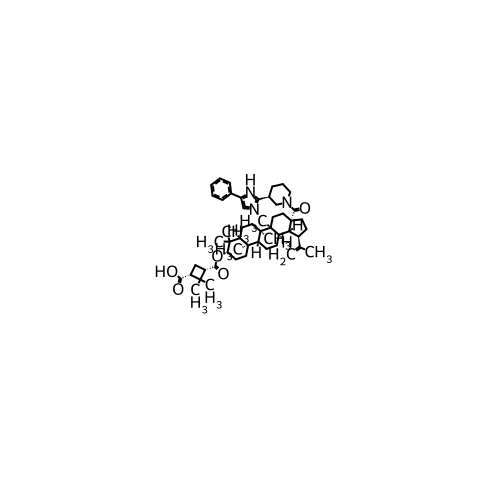 C=C(C)[C@@H]1CC[C@]2(C(=O)N3CCC[C@H](c4ncc(-c5ccccc5)[nH]4)C3)CC[C@]3(C)[C@H](CC[C@@H]4[C@@]5(C)CC[C@H](OC(=O)[C@H]6C[C@@H](C(=O)O)C6(C)C)C(C)(C)[C@@H]5CC[C@]43C)[C@@H]12